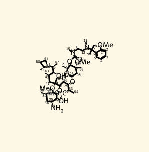 COc1ccccc1C(C)(C)N(C)CCN(C)C(=O)O[C@H]1[C@H](C)O[C@@H](O[C@@H]([C@H](C)[C@@H](O[C@@H]2O[C@H](C)C[C@H](N)[C@H]2O)[C@](C)(C[C@@H](C)[C@H](O)[C@H](C)N2CCC2)OC)[C@@H](C)C(=O)O)C[C@@]1(C)OC